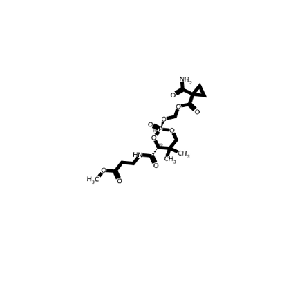 COC(=O)CCNC(=O)[C@@H]1O[P@@](=O)(OCOC(=O)C2(C(N)=O)CC2)OCC1(C)C